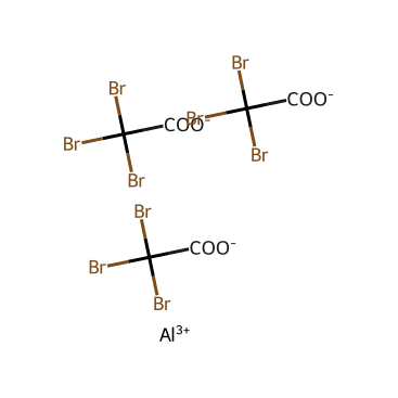 O=C([O-])C(Br)(Br)Br.O=C([O-])C(Br)(Br)Br.O=C([O-])C(Br)(Br)Br.[Al+3]